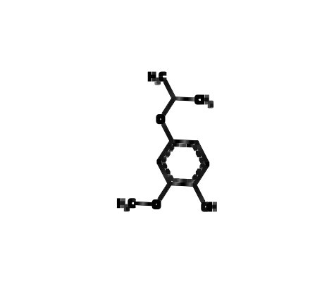 COc1cc(OC(C)C)ccc1O